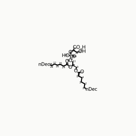 CCCCCCCCCCCCCCCC(=O)OC[C@H](COP(=O)(O)OC(CO)C(=O)O)OC(=O)CCCCCCCCCCCCCCC